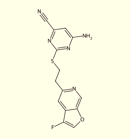 N#Cc1cc(N)nc(SCCc2cc3c(F)coc3cn2)n1